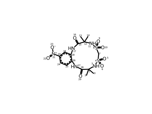 CC1(C)NS(=O)(=O)CS(=O)(=O)NC(C)(C)C(=O)Nc2cc([N+](=O)[O-])ccc2NC1=O